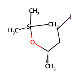 C[C@@H](CCI)O[Si](C)(C)C